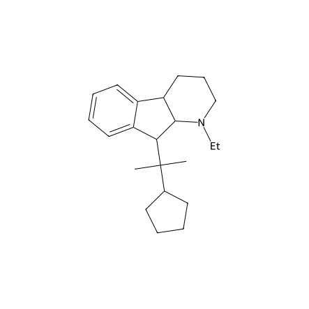 CCN1CCCC2c3ccccc3C(C(C)(C)C3CCCC3)C21